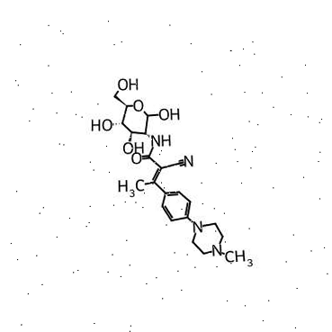 C/C(=C(/C#N)C(=O)N[C@H]1C(O)O[C@H](CO)[C@@H](O)[C@@H]1O)c1ccc(N2CCN(C)CC2)cc1